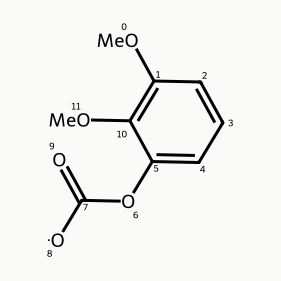 COc1cccc(OC([O])=O)c1OC